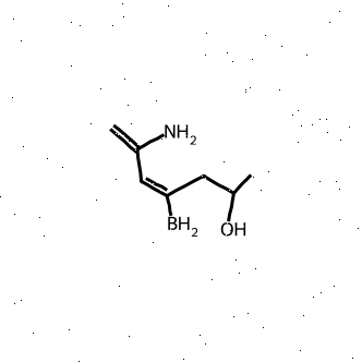 B/C(=C/C(=C)N)CC(C)O